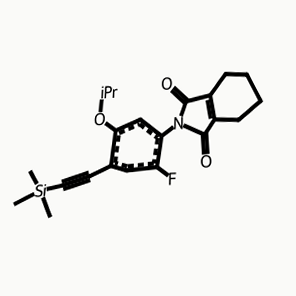 CC(C)Oc1cc(N2C(=O)C3=C(CCCC3)C2=O)c(F)cc1C#C[Si](C)(C)C